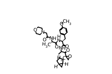 COc1ccc(C[C@H](NC(=O)[C@H](C)NC(=O)CN2CCOCC2)C(=O)NC(C[C@H]2C[C@@H]3C[C@@H]3C2)C(=O)C2(C)CO2)cc1